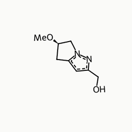 CO[C@@H]1Cc2cc(CO)nn2C1